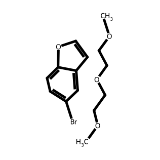 Brc1ccc2occc2c1.COCCOCCOC